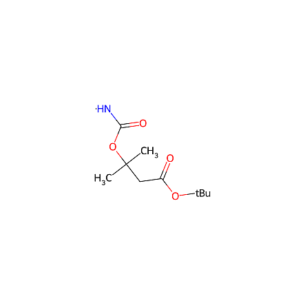 CC(C)(C)OC(=O)CC(C)(C)OC([NH])=O